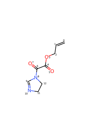 C=CCOC(=O)C(=O)N1C=NCC1